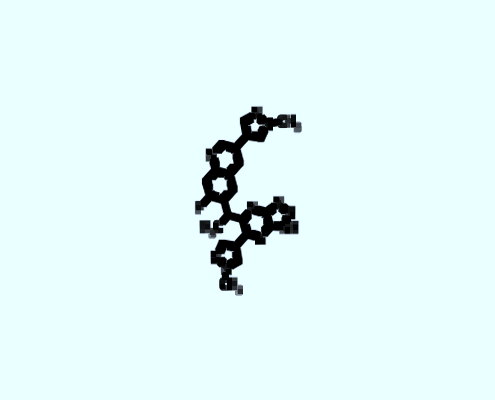 CC(c1cc2cc(-c3cnn(C)c3)cnc2cc1F)c1nc2nn[nH]c2nc1-c1cnn(C)c1